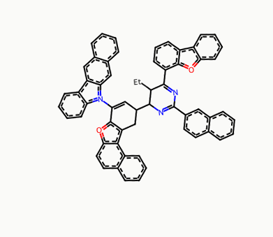 CCC1C(c2cccc3c2oc2ccccc23)=NC(c2ccc3ccccc3c2)=NC1C1C=C(n2c3ccccc3c3cc4ccccc4cc32)c2oc3ccc4ccccc4c3c2C1